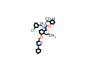 CC1Cc2c(OCc3ccc(-c4ccccc4)cn3)ccc3c2c(c(COc2ccccc2C(C)C(=O)O)n3Cc2cccc(Cl)c2)S1